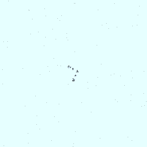 [Al].[Cu].[Ti].[V].[Zr]